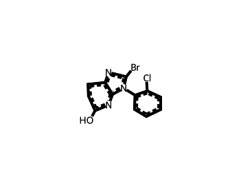 Oc1ccc2nc(Br)n(-c3ccccc3Cl)c2n1